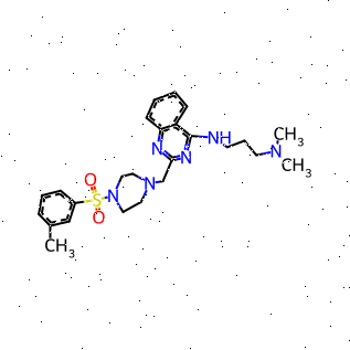 Cc1cccc(S(=O)(=O)N2CCN(Cc3nc(NCCCN(C)C)c4ccccc4n3)CC2)c1